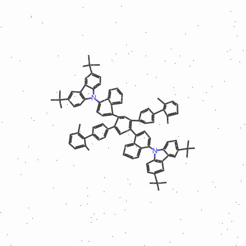 Cc1cccc(C)c1-c1ccc(-c2cc(-c3ccc(-n4c5ccc(C(C)(C)C)cc5c5cc(C(C)(C)C)ccc54)c4ccccc34)c(-c3ccc(-c4c(C)cccc4C)cc3)cc2-c2ccc(-n3c4ccc(C(C)(C)C)cc4c4cc(C(C)(C)C)ccc43)c3ccccc23)cc1